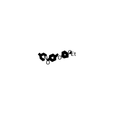 CCOc1ccc(OCc2ccc(C(=O)N3CCC(C)CC3)cc2)cc1